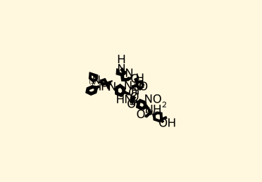 CC(C)c1ccccc1[C@@H]1CCCN1C1CC2(C1)CN(c1ccc(C(=O)NS(=O)(=O)c3cc4c(c([N+](=O)[O-])c3)N[C@@H](C3CCC(C)(O)CC3)CO4)c(N3C[C@@H]4COC[C@@H]4Oc4nc5[nH]ccc5cc43)c1)C2